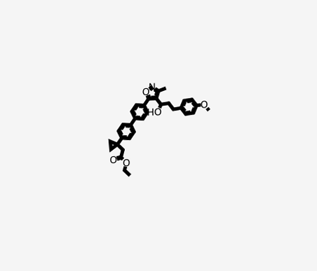 CCOC(=O)CC1(c2ccc(-c3ccc(-c4onc(C)c4C(O)CCc4ccc(OC)cc4)cc3)cc2)CC1